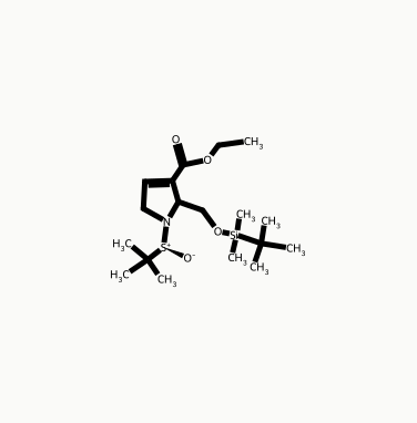 CCOC(=O)C1=CCN([S@@+]([O-])C(C)(C)C)C1CO[Si](C)(C)C(C)(C)C